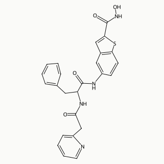 O=C(Cc1ccccn1)NC(Cc1ccccc1)C(=O)Nc1ccc2sc(C(=O)NO)cc2c1